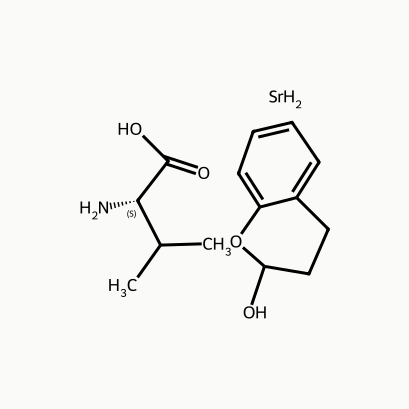 CC(C)[C@H](N)C(=O)O.OC1CCc2ccccc2O1.[SrH2]